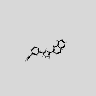 N#Cc1cccc(-c2nc(-c3ccc4ccccc4n3)no2)c1